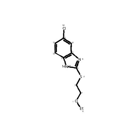 CCOCCSc1nc2cc(Cl)ccc2[nH]1